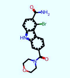 NC(=O)c1ccc2[nH]c3cc(C(=O)N4CCOCC4)ccc3c2c1Br